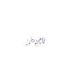 CCC[C@@](NC(=O)c1ccnn1C(C)C)(C(=O)Nc1cc(CN)c(C(C)C(=O)NC(F)C(F)F)cc1F)C(C1CCCCC1)C1CCCCC1